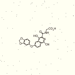 N#Cc1nc(C(=O)NCC(=O)O)c(O)c2cc(Oc3ccc4c(c3)OCO4)ccc12